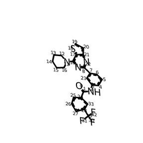 O=C(Nc1cccc(-c2nc(N3CCCCC3)c3sccc3n2)c1)c1cccc(C(F)(F)F)c1